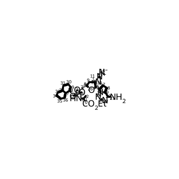 CCOC(=O)[C@H](C)NP(=O)(OC[C@@H]1C[C@@](C)(N=[N+]=[N-])[C@H](c2ccc3c(N)ncnn23)O1)Oc1cccc2ccccc12